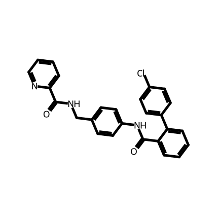 O=C(NCc1ccc(NC(=O)c2ccccc2-c2ccc(Cl)cc2)cc1)c1ccccn1